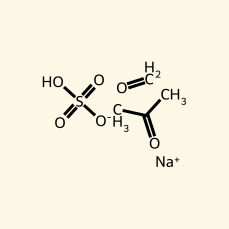 C=O.CC(C)=O.O=S(=O)([O-])O.[Na+]